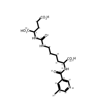 O=C(O)CCC(NC(=O)NCCCCC(NC(=O)c1cncc(I)c1)C(=O)O)C(=O)O